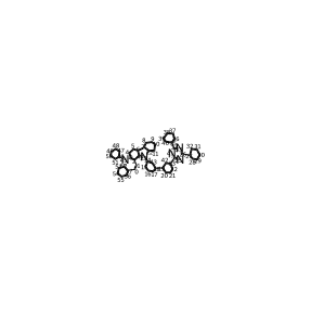 C1=Cc2c(ccc3c4ccccc4n(-c4cccc(-c5cccc(-c6nc(-c7ccccc7)nc(-c7ccccc7)n6)c5)c4)c23)N(c2ccccc2)c2ccccc21